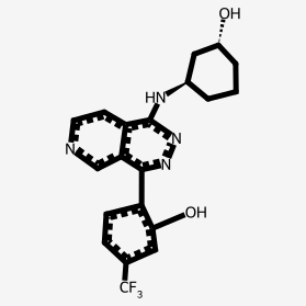 Oc1cc(C(F)(F)F)ccc1-c1nnc(N[C@@H]2CCC[C@@H](O)C2)c2ccncc12